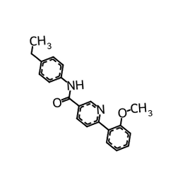 CCc1ccc(NC(=O)c2ccc(-c3ccccc3OC)nc2)cc1